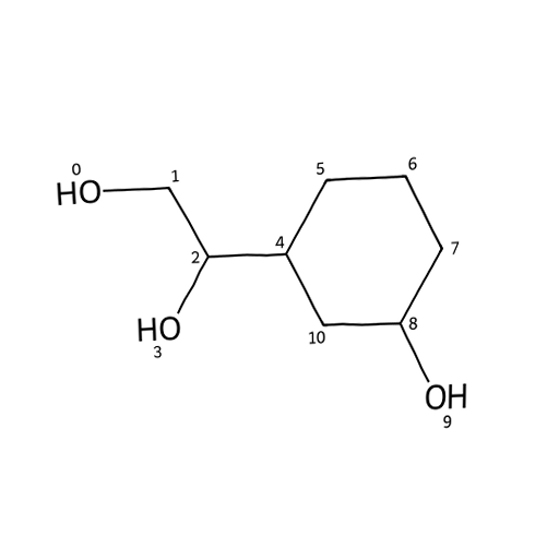 OCC(O)C1CCCC(O)C1